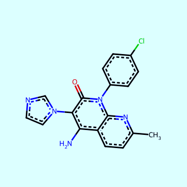 Cc1ccc2c(N)c(-n3ccnc3)c(=O)n(-c3ccc(Cl)cc3)c2n1